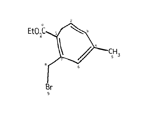 CCOC(=O)c1ccc(C)cc1CBr